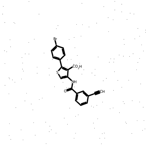 C#Cc1cccc(C(=O)Nc2csc(-c3ccc(Br)cc3)c2C(=O)O)c1